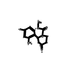 Cc1cc(F)ccc1C1CC(=O)CCN1C(=O)OC(C)(C)C